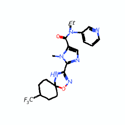 CCN(C(=O)c1cnc(C2=NOC3(CCC(C(F)(F)F)CC3)N2)n1C)c1cccnc1